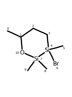 CC1CC[Si](C)(Br)[Si](C)(C)O1